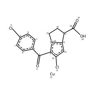 O=C(c1ccc(Cl)cc1)c1c(Cl)cc2n1CCC2C(=O)O.[Cu]